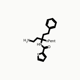 CCCCCC(CCN)(CCc1ccccc1)NC(=O)c1cccs1